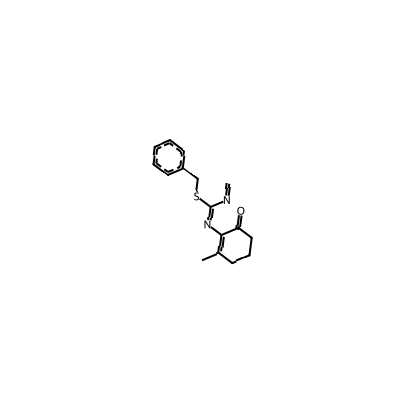 C=N/C(=N\C1=C(C)CCCC1=O)SCc1ccccc1